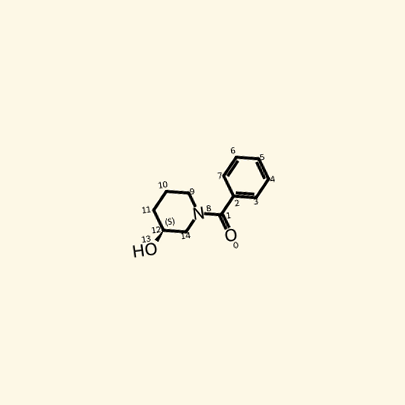 O=C(c1ccccc1)N1CCC[C@H](O)C1